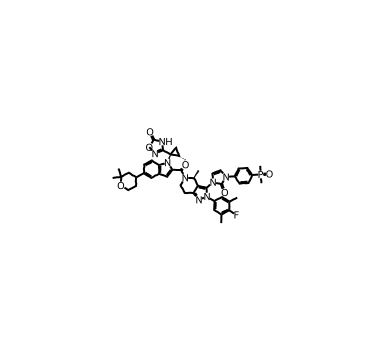 Cc1cc(-n2nc3c(c2-n2ccn(-c4ccc(P(C)(C)=O)cc4)c2=O)[C@H](C)N(C(=O)c2cc4cc(C5CCOC(C)(C)C5)ccc4n2[C@@]2(c4noc(=O)[nH]4)C[C@@H]2C)CC3)cc(C)c1F